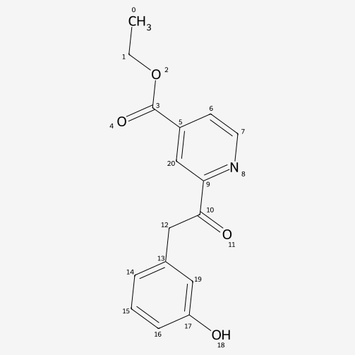 CCOC(=O)c1ccnc(C(=O)Cc2cccc(O)c2)c1